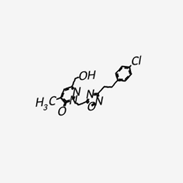 Cc1cc(CO)nn(Cc2nc(CCc3ccc(Cl)cc3)no2)c1=O